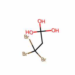 OC(O)(O)CC(Br)(Br)Br